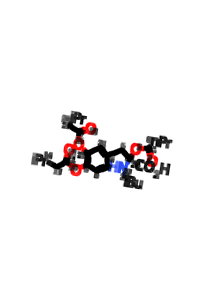 CCCC(=O)O[C@](Cc1ccc(OC(=O)CC(C)C)c(OC(=O)CC(C)C)c1)(NC(C)CC)C(=O)O